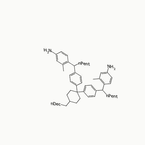 CCCCCCCCCCCC1CCC(c2ccc(C(CCCCC)c3ccc(N)cc3C)cc2)(c2ccc(C(CCCCC)c3ccc(N)cc3C)cc2)CC1